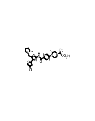 CCC(C(=O)O)N1CCN(c2cnc(C(=O)Nc3nc(-c4cc(Cl)cs4)c(CN4CCC[C@H]4C)s3)cn2)[C@H](C)C1